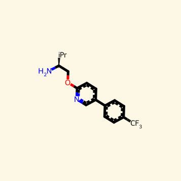 CC(C)[C@H](N)COc1ccc(-c2ccc(C(F)(F)F)cc2)cn1